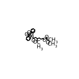 COC(C)C(=O)OCCCC(CC(=O)Nc1ccccc1S(=O)(=O)Oc1ccccc1)C(C)=O